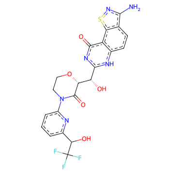 Nc1nsc2c1ccc1[nH]c([C@H](O)[C@H]3OCCN(c4cccc(C(O)C(F)(F)F)n4)C3=O)nc(=O)c12